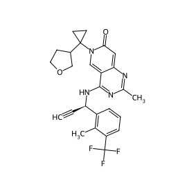 C#C[C@@H](Nc1nc(C)nc2cc(=O)n(C3(C4CCOC4)CC3)cc12)c1cccc(C(F)(F)F)c1C